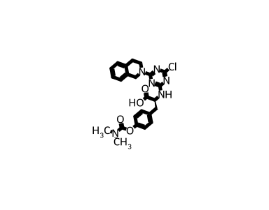 CN(C)C(=O)Oc1ccc(C[C@H](Nc2nc(Cl)nc(N3CCc4ccccc4C3)n2)C(=O)O)cc1